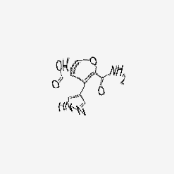 NC(=O)c1occc1-c1cn[nH]c1.O=CO